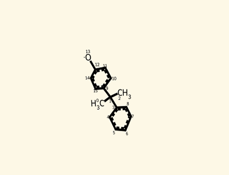 CC(C)(c1ccccc1)c1ccc([O])cc1